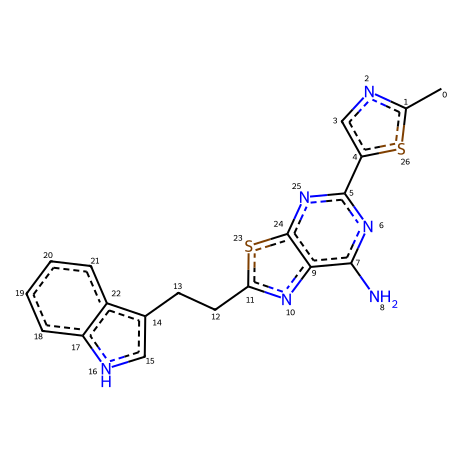 Cc1ncc(-c2nc(N)c3nc(CCc4c[nH]c5ccccc45)sc3n2)s1